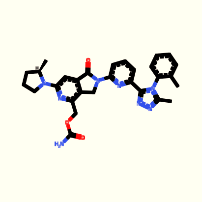 Cc1ccccc1-n1c(C)nnc1-c1cccc(N2Cc3c(cc(N4CCC[C@H]4C)nc3COC(N)=O)C2=O)n1